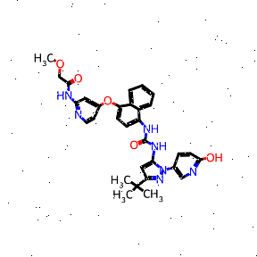 COCC(=O)Nc1cc(Oc2ccc(NC(=O)Nc3cc(C(C)(C)C)nn3-c3ccc(O)nc3)c3ccccc23)ccn1